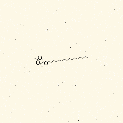 [CH2]C(OC(C)=O)C(C)OCCCCCCCCCCCCCCCC